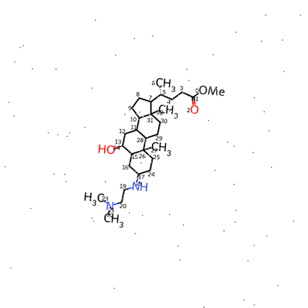 COC(=O)CC[C@@H](C)C1CCC2C3C[C@H](O)C4CC(NCCN(C)C)CCC4(C)C3CCC21C